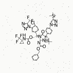 CC(C)(C)C[C@]1(c2ccc(-n3cc([Si](C)(C)C)nn3)cc2)NC(=NC(=O)OCc2ccccc2)N([C@H](COC(=O)NC2(C(F)(F)F)CC2)c2ccc(Cl)c(-n3ncnc3C(F)F)c2)C1=O